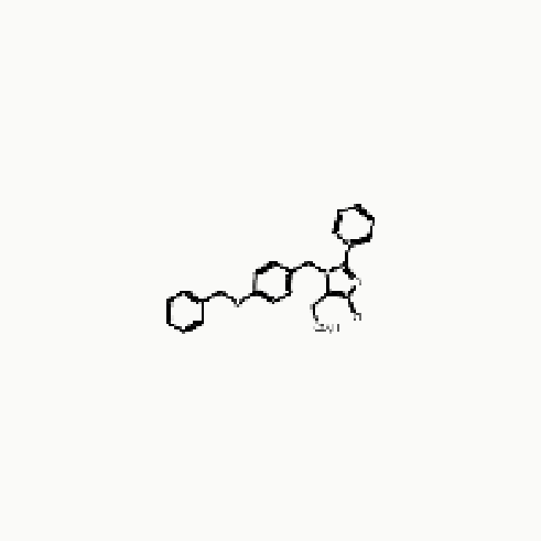 O=C(O)Cc1c(Cl)nc(-c2ccccc2)n1Cc1ccc(OCc2ccccc2)cc1